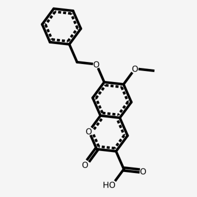 COc1cc2cc(C(=O)O)c(=O)oc2cc1OCc1ccccc1